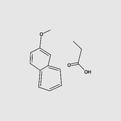 CCC(=O)O.COc1ccc2ccccc2c1